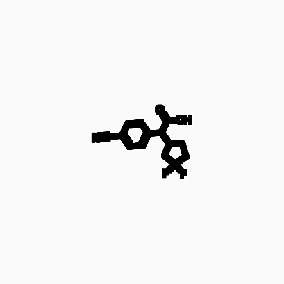 N#Cc1ccc(C(C(=O)O)C2CCC(F)(F)C2)cc1